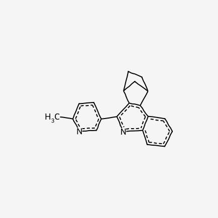 Cc1ccc(-c2nc3ccccc3c3c2C2CCC3C2)cn1